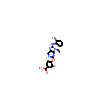 CCn1c(Nc2ccccc2Cl)nc2cnc(Oc3c(F)cc(C(=O)O)cc3F)nc21